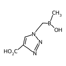 CB(O)Cn1cc(C(=O)O)nn1